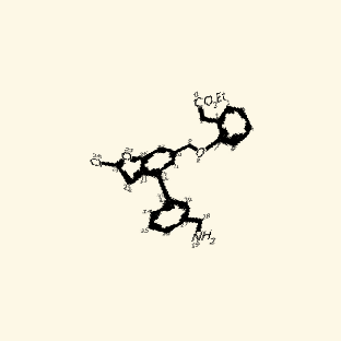 CCOC(=O)Cc1ccccc1OCc1cc(-c2cccc(CN)c2)c2cc(Cl)oc2c1